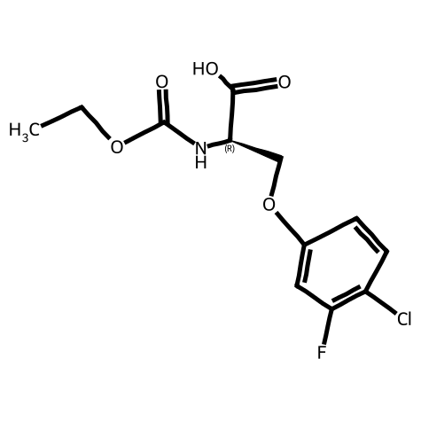 CCOC(=O)N[C@H](COc1ccc(Cl)c(F)c1)C(=O)O